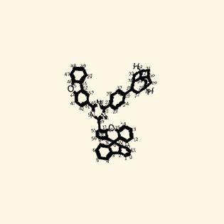 C1=CC2c3ccccc3C3(c4ccccc4Oc4c(-c5nc(-c6ccc(C78C[C@@H]9CC%10C[C@H](C7)C%10(C9)C8)cc6)nc(-c6ccc7oc8ccccc8c7c6)n5)cccc43)C2C=C1